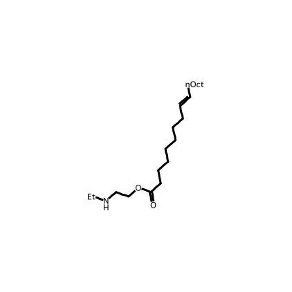 CCCCCCCCC=CCCCCCCCC(=O)OCCNCC